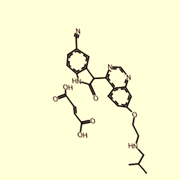 CC(C)CNCCOc1ccc2c(C3C(=O)Nc4ccc(C#N)cc43)ncnc2c1.O=C(O)/C=C/C(=O)O